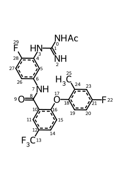 CC(=O)NC(=N)Nc1cc(NC(=O)c2cc(C(F)(F)F)ccc2Oc2ccc(F)cc2C)ccc1F